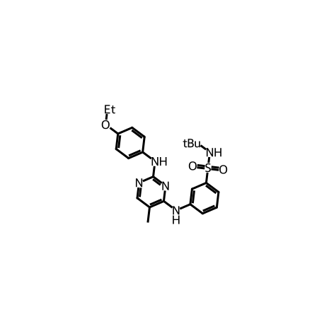 CCOc1ccc(Nc2ncc(C)c(Nc3cccc(S(=O)(=O)NC(C)(C)C)c3)n2)cc1